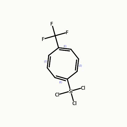 FC(F)(F)C1=C/C=C\C([Si](Cl)(Cl)Cl)=C/C=C\1